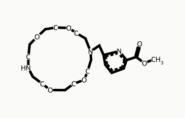 COC(=O)c1cccc(CN2CCOCCOCCNCCOCCOCC2)n1